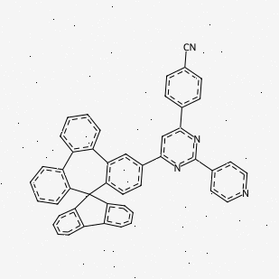 N#Cc1ccc(-c2cc(-c3ccc4c(c3)-c3ccccc3-c3ccccc3C43c4ccccc4-c4ccccc43)nc(-c3ccncc3)n2)cc1